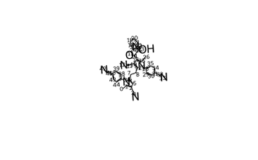 Cc1c(C#N)cc(CCc2c(C#N)c(C(=O)CN3C4CCC3[C@@H](O)C4)c(C)n2-c2ccc(C#N)cc2)n1-c1ccc(C#N)cc1